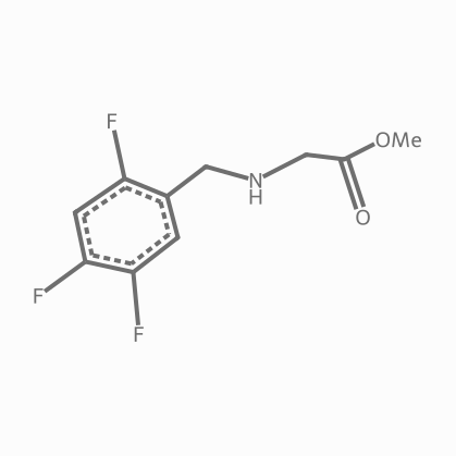 COC(=O)CNCc1cc(F)c(F)cc1F